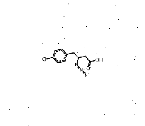 [N-]=[N+]=NC(CC(=O)O)Cc1ccc(Cl)cc1